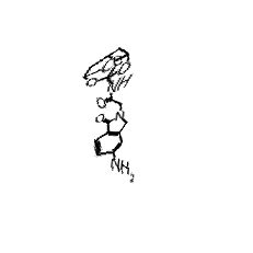 Nc1ccc2c(c1)CN(CC(=O)NC13OC4CC(CC(C4)O1)O3)C2=O